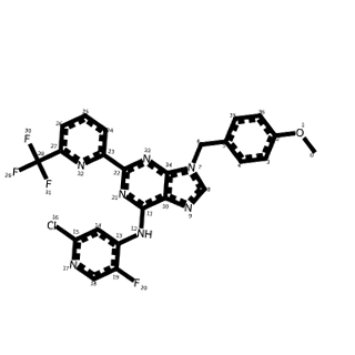 COc1ccc(Cn2cnc3c(Nc4cc(Cl)ncc4F)nc(-c4cccc(C(F)(F)F)n4)nc32)cc1